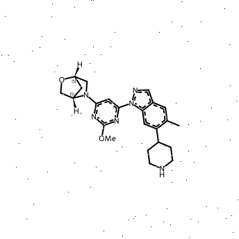 COc1nc(N2C[C@@H]3C[C@H]2CO3)cc(-n2ncc3cc(C)c(C4CCNCC4)cc32)n1